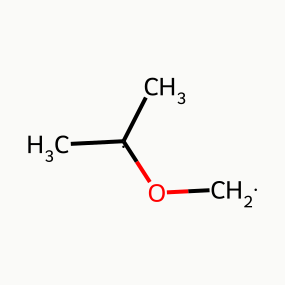 [CH2]O[C](C)C